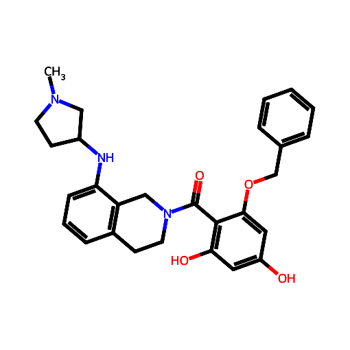 CN1CCC(Nc2cccc3c2CN(C(=O)c2c(O)cc(O)cc2OCc2ccccc2)CC3)C1